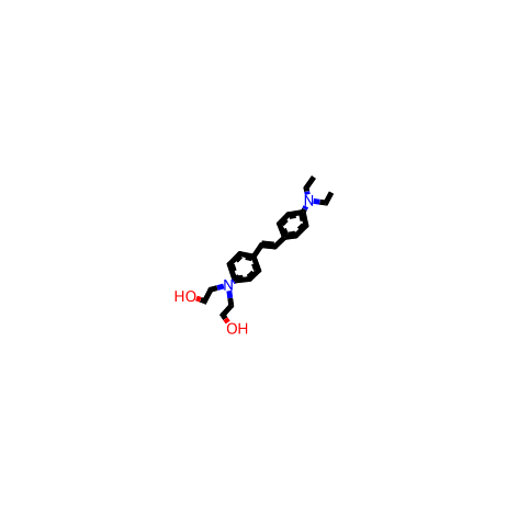 CCN(CC)c1ccc(/C=C/c2ccc(N(CCO)CCO)cc2)cc1